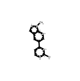 Cn1ncc2cc(-c3ccnc(Cl)n3)cnc21